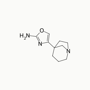 Nc1nc(C23CCCN(CC2)C3)co1